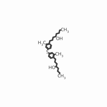 CCCCC(O)CCCc1ccc(Sc2ccc(CCCC(O)CCCC)c(C)c2)cc1C